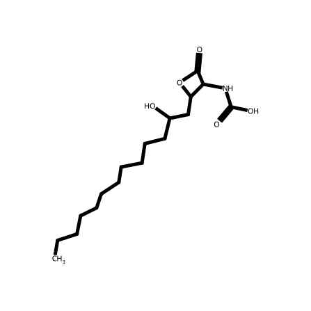 CCCCCCCCCCCC(O)CC1OC(=O)C1NC(=O)O